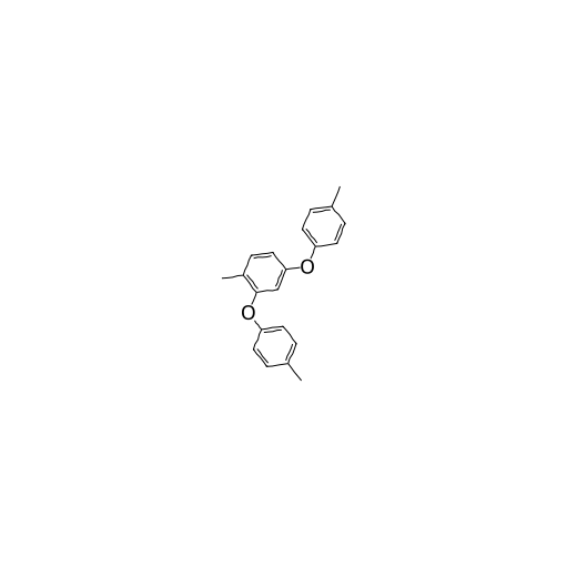 Cc1ccc(Oc2ccc(C)c(Oc3ccc(C)cc3)c2)cc1